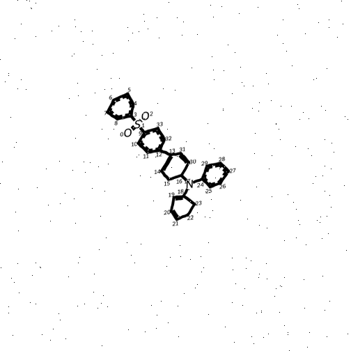 O=S(=O)(c1ccccc1)c1ccc(C2=CCC(N(C3=CC=CCC3)c3ccccc3)C=C2)cc1